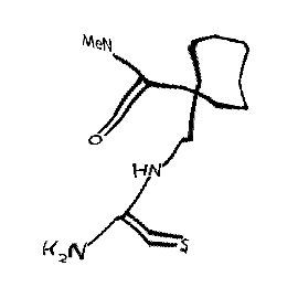 CNC(=O)C1(CNC(N)=S)CCC1